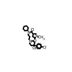 CN1CC(C(=O)N(CCCN2CCC(O)(c3ccc(Cl)cc3)CC2)C2CCCCC2)CC1=O